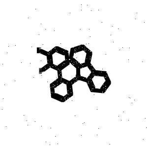 Fc1cccc(-c2ccccc2-n2c3ccccc3c3ccccc32)c1F